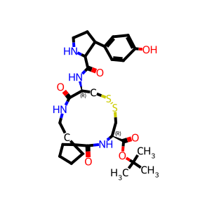 CC(C)(C)OC(=O)[C@@H]1CSSC[C@H](NC(=O)C2NCCC2c2ccc(O)cc2)C(=O)NCCC2(CCCC2)C(=O)N1